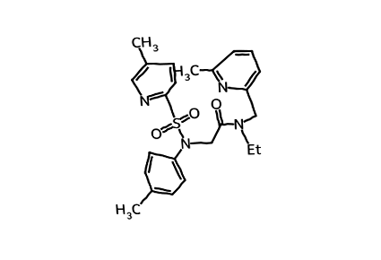 CCN(Cc1cccc(C)n1)C(=O)CN(c1ccc(C)cc1)S(=O)(=O)c1ccc(C)cn1